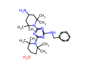 CC1(C)CCCC(C)(C)N1c1nc(NCc2ccccc2)nc(N2C(C)(C)CC(N)CC2(C)C)n1.O